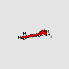 N=C(c1ccc2oc(N)nc2c1)c1c(N)ncnc1NCc1ccc2c(c1)CCN(C(=O)CCOCCOCCOCCOCCOCCOCCOCCOCCNC(=O)CO)C2